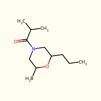 BC1CN(C(=O)C(C)C)CC(CCC)O1